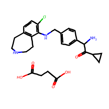 NC(C(=O)C1CC1)c1ccc(CNc2c(Cl)ccc3c2CCNCC3)cc1.O=C(O)CCC(=O)O